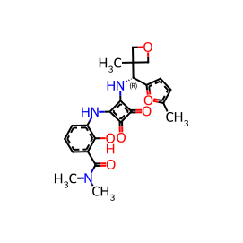 Cc1ccc([C@H](Nc2c(Nc3cccc(C(=O)N(C)C)c3O)c(=O)c2=O)C2(C)COC2)o1